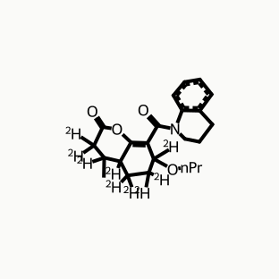 [2H]C1([2H])C(=O)OC2=C(C(=O)N3CCCc4ccccc43)C([2H])(OCCC)C([2H])([2H])C([2H])([2H])C2([2H])C1([2H])C